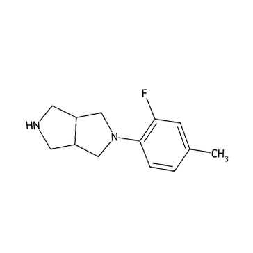 Cc1ccc(N2CC3CNCC3C2)c(F)c1